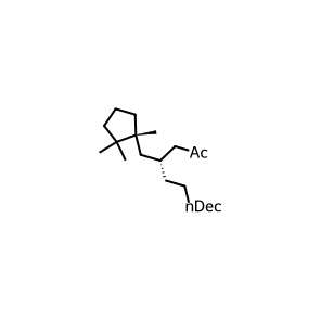 CCCCCCCCCCCC[C@@H](CC(C)=O)C[C@@]1(C)CCCC1(C)C